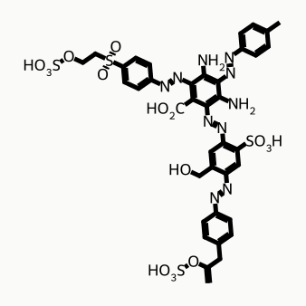 C=C(Cc1ccc(N=Nc2cc(S(=O)(=O)O)c(N=Nc3c(N)c(N=Nc4ccc(C)cc4)c(N)c(N=Nc4ccc(S(=O)(=O)CCOS(=O)(=O)O)cc4)c3C(=O)O)cc2CO)cc1)OS(=O)(=O)O